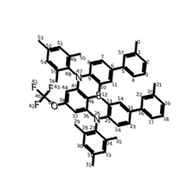 Cc1cccc(-c2ccc3c(c2)B2c4cc(-c5cccc(C)c5)ccc4N(c4c(C)cc(C)cc4C)c4cc(OC(F)(F)F)cc(c42)N3c2c(C)cc(C)cc2C)c1